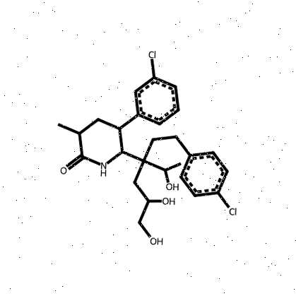 CC1CC(c2cccc(Cl)c2)C(C(CCc2ccc(Cl)cc2)(CC(O)CO)C(C)O)NC1=O